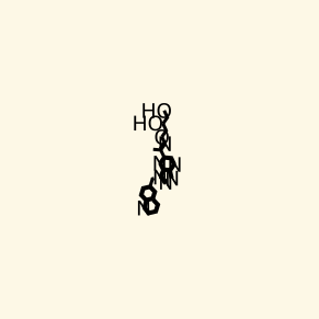 C/C(=N\OCC(O)CO)c1cnc2nnn(Cc3ccc4ncccc4c3)c2n1